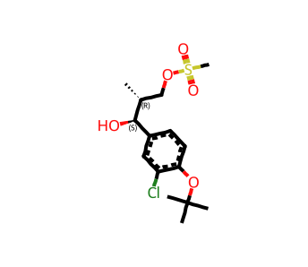 C[C@H](COS(C)(=O)=O)[C@H](O)c1ccc(OC(C)(C)C)c(Cl)c1